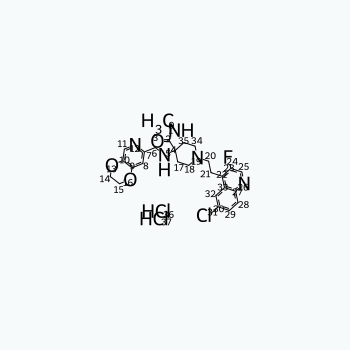 CNC(=O)C1(NCc2cc3c(cn2)OCCO3)CCN(CCc2c(F)cnc3ccc(Cl)cc23)CC1.Cl.Cl